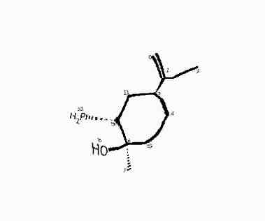 C=C(C)[C@H]1CC[C@@](C)(O)[C@H](P)C1